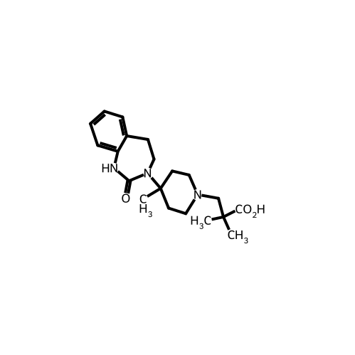 CC(C)(CN1CCC(C)(N2CCc3ccccc3NC2=O)CC1)C(=O)O